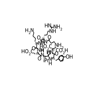 CC(C)[C@H](NC(=O)[C@H](CC(=O)O)NC(=O)[C@H](CCCCN)NC(=O)[C@H](CCCNC(=N)N)NC(=O)CCN)C(=O)N[C@@H](Cc1ccc(O)cc1)C(=O)N[C@@H](CC(=O)O)C(=O)O